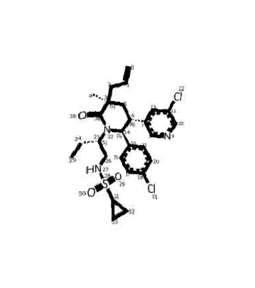 C=CC[C@@]1(C)C[C@H](c2cncc(Cl)c2)[C@@H](c2ccc(Cl)cc2)N([C@@H](CC)CNS(=O)(=O)C2CC2)C1=O